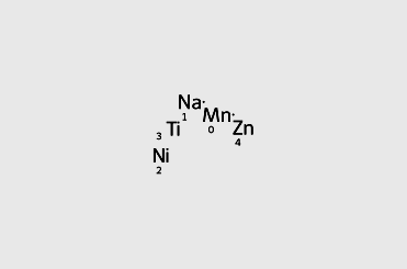 [Mn].[Na].[Ni].[Ti].[Zn]